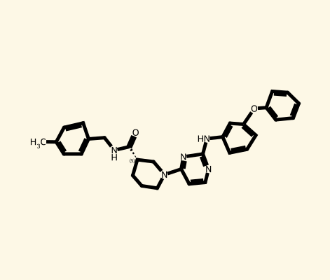 Cc1ccc(CNC(=O)[C@H]2CCCN(c3ccnc(Nc4cccc(Oc5ccccc5)c4)n3)C2)cc1